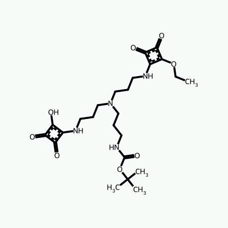 CCOc1c(NCCCN(CCCNC(=O)OC(C)(C)C)CCCNc2c(O)c(=O)c2=O)c(=O)c1=O